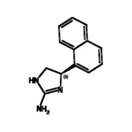 NC1=N[C@H](c2cccc3ccccc23)CN1